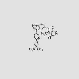 C[C@@H](Oc1ccc2[nH]nc(-c3ccc(N4CC(C)(N)C4)nc3)c2c1)c1c(Cl)cncc1Cl